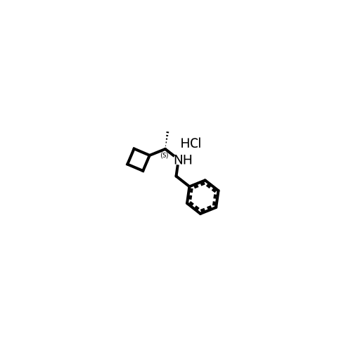 C[C@H](NCc1ccccc1)C1CCC1.Cl